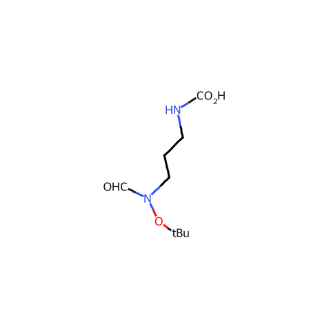 CC(C)(C)ON(C=O)CCCNC(=O)O